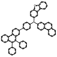 c1ccc(-c2c(-c3ccccc3)c3cc(-c4ccc(N(c5ccc6c(ccc7ccccc76)c5)c5ccc6oc7ccccc7c6c5)cc4)ccc3c3ccccc23)cc1